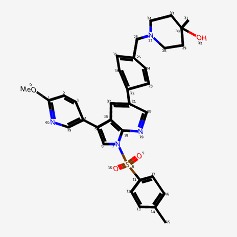 COc1ccc(-c2cn(S(=O)(=O)c3ccc(C)cc3)c3ncc(-c4ccc(CN5CCC(C)(O)CC5)cc4)cc23)cn1